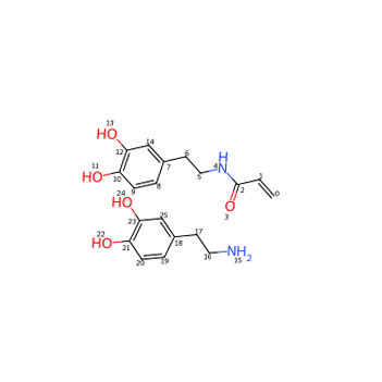 C=CC(=O)NCCc1ccc(O)c(O)c1.NCCc1ccc(O)c(O)c1